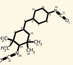 CC1(C)CC(CC2CCC(N=C=O)CC2)CC(C)(C)C1N=C=O